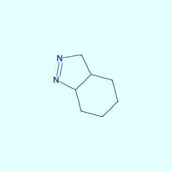 C1CCC2N=NCC2C1